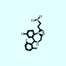 CCN(CC)CCc1nnc2n1-c1ccc(Cl)cc1C(c1c(F)cccc1F)NC2